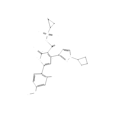 CCCCOc1ccc(-c2cc(-c3ccn(C4CCC4)n3)c(C(=O)NS(=O)(=O)C3CC3)c(=O)[nH]2)c(F)c1